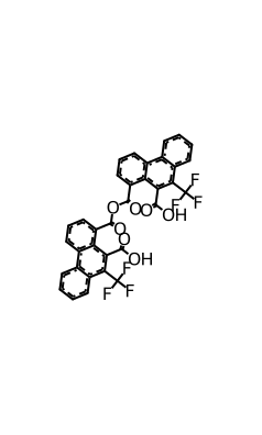 O=C(OC(=O)c1cccc2c1c(C(=O)O)c(C(F)(F)F)c1ccccc12)c1cccc2c1c(C(=O)O)c(C(F)(F)F)c1ccccc12